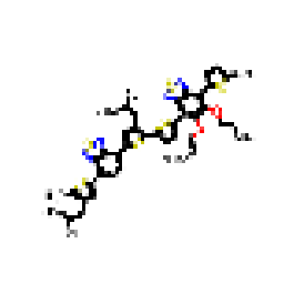 CCCCCCCCCCCCOc1c(OCCCCCCCCCCCC)c(-c2ccc(-c3sc(-c4ccc(-c5cc(CC(CC)CCCC)c(C)s5)c5nsnc45)cc3CC(CC)CCCC)s2)c2nsnc2c1-c1ccc(C)s1